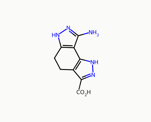 Nc1n[nH]c2c1-c1[nH]nc(C(=O)O)c1CC2